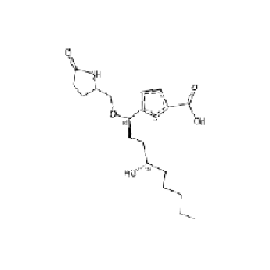 CCCCC[C@H](O)CC[C@@H](OCC1CCC(=O)N1)c1ccc(C(=O)O)s1